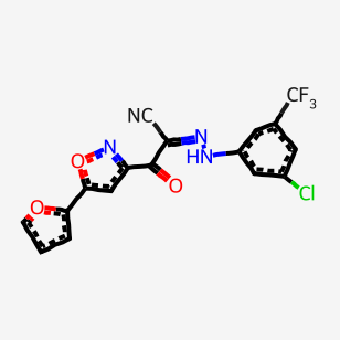 N#CC(=NNc1cc(Cl)cc(C(F)(F)F)c1)C(=O)c1cc(-c2ccco2)on1